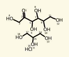 Cl.O=C(CO)C(O)C(O)C(O)CO.OCC(O)CO